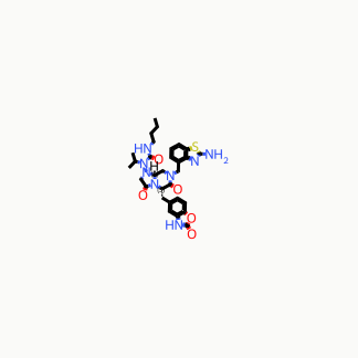 CCCCNC(=O)N(C(C)C)N1CC(=O)N2[C@@H](Cc3ccc4oc(=O)[nH]c4c3)C(=O)N(Cc3cccc4sc(N)nc34)C[C@@H]21